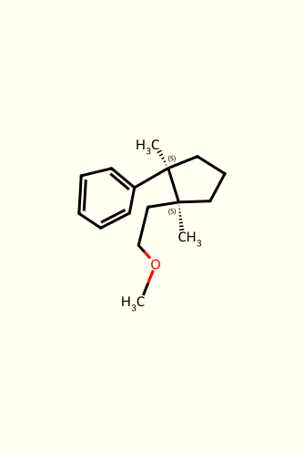 COCC[C@]1(C)CCC[C@]1(C)c1ccccc1